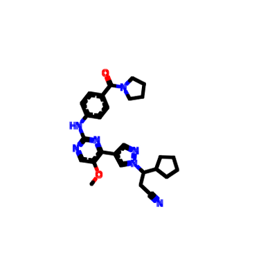 COc1cnc(Nc2ccc(C(=O)N3CCCC3)cc2)nc1-c1cnn(C(CC#N)C2CCCC2)c1